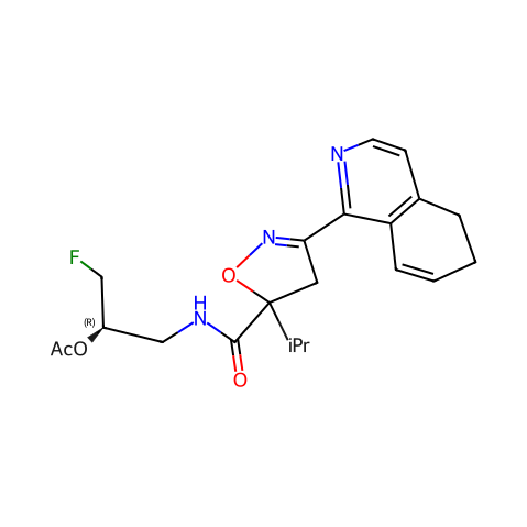 CC(=O)O[C@@H](CF)CNC(=O)C1(C(C)C)CC(c2nccc3c2C=CCC3)=NO1